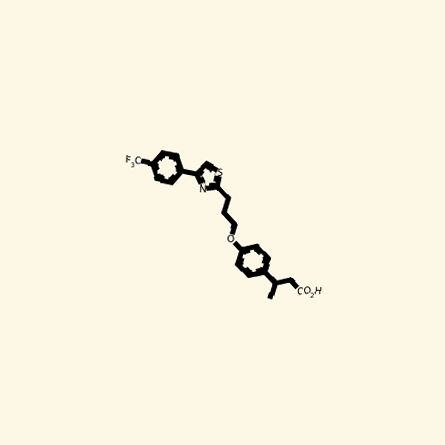 CC(CC(=O)O)c1ccc(OCCCc2nc(-c3ccc(C(F)(F)F)cc3)cs2)cc1